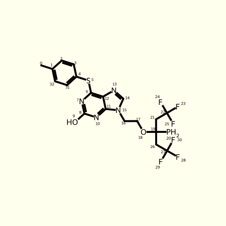 Cc1ccc(Sc2nc(O)nc3c2ncn3CCOC(P)(CC(F)(F)F)CC(F)(F)F)cc1